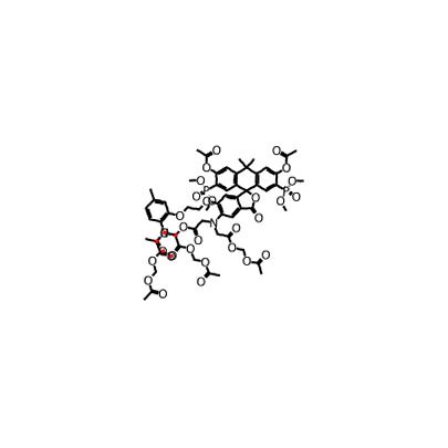 COP(=O)(OC)c1cc2c(cc1OC(C)=O)C(C)(C)c1cc(OC(C)=O)c(P(=O)(OC)OC)cc1C21OC(=O)c2cc(N(CC(=O)OCOC(C)=O)CC(=O)OCOC(C)=O)c(OCCOc3cc(C)ccc3N(CC(=O)OCOC(C)=O)CC(=O)OCOC(C)=O)cc21